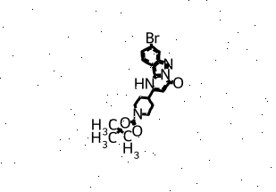 CC(C)(C)OC(=O)N1CCC(c2cc(=O)n3nc4cc(Br)ccc4c3[nH]2)CC1